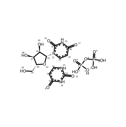 O=P(O)(O)OP(=O)(O)O.O=c1cc[nH]c(=O)[nH]1.O=c1ccn([C@@H]2O[C@H](CO)[C@@H](O)[C@H]2O)c(=O)[nH]1